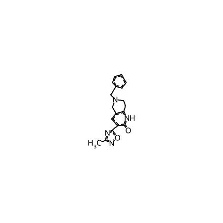 Cc1noc(-c2cc3c([nH]c2=O)CCN(Cc2ccccc2)C3)n1